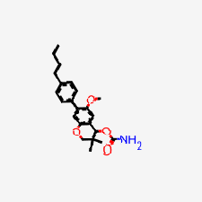 CCCCc1ccc(-c2cc3c(cc2OC)C(OC(N)=O)C(C)(C)CO3)cc1